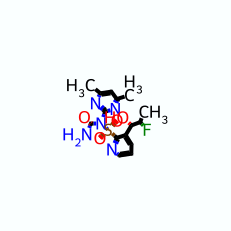 Cc1cc(C)nc(N(C(N)=O)S(=O)(=O)c2ncccc2C(O)C(C)F)n1